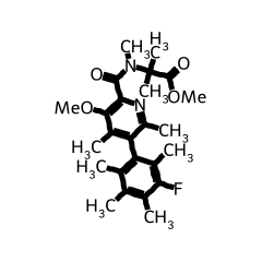 COC(=O)C(C)(C)N(C)C(=O)c1nc(C)c(-c2c(C)c(C)c(C)c(F)c2C)c(C)c1OC